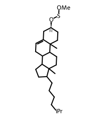 COSO[C@H]1CCC2(C)C(=CCC3C2CCC2(C)C(CCCCC(C)C)CCC32)C1